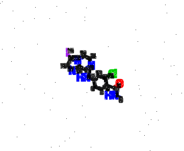 CNC(=O)c1ccc(Nc2nccn3c(I)cnc23)cc1Cl